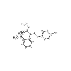 CCC(C)[C](CCc1ccc(Cl)cc1)c1ccccc1C(C)C